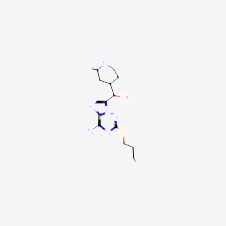 CCCCOc1nc(N)c2ncc(C(O)C3CCNC(C)C3)n2n1